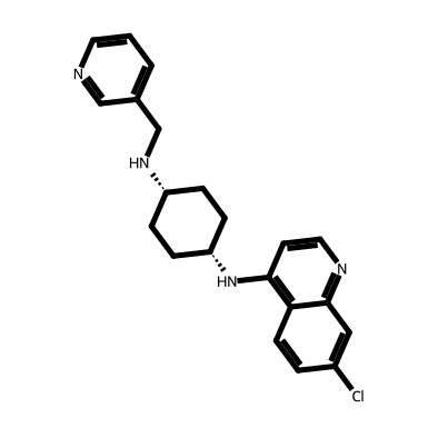 Clc1ccc2c(N[C@H]3CC[C@@H](NCc4cccnc4)CC3)ccnc2c1